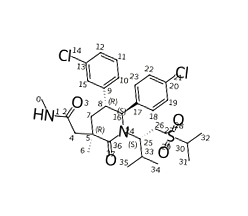 CNC(=O)C[C@@]1(C)C[C@H](c2cccc(Cl)c2)[C@@H](c2ccc(Cl)cc2)N([C@H](CS(=O)(=O)C(C)C)C(C)C)C1=O